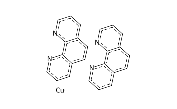 [Cu].c1cnc2c(c1)ccc1cccnc12.c1cnc2c(c1)ccc1cccnc12